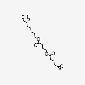 CCCCCCCCOC(=O)CCCOC(=O)CCCC1CO1